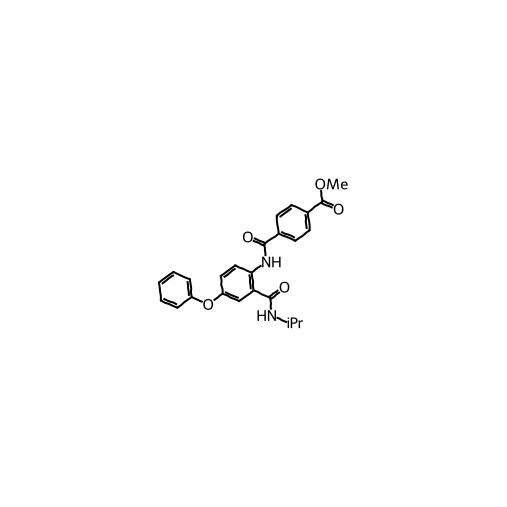 COC(=O)c1ccc(C(=O)Nc2ccc(Oc3ccccc3)cc2C(=O)NC(C)C)cc1